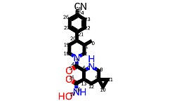 CC1CN(C(=O)C2NCC3(CC3)CC2C(=O)NO)CCC1c1ccc(C#N)cc1